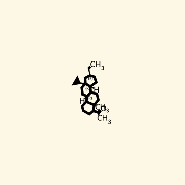 CC[C@H]1CC[C@@H]2C3CC[C@]4(C)C(C(C)=O)CCCC4[C@@H]3CC[C@]2(C2CC2)C1